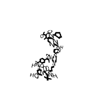 CC(=O)c1c(C)c2cnc(Nc3ccc(N4CCN(CCCC(=O)N[C@@H](C(=O)N5C[C@H](O)C[C@H]5C(=O)N[C@@H](C)c5ccc(-c6scnc6C)cc5)C(C)(C)C)CC4)cn3)nc2n(C2CCCC2)c1=O